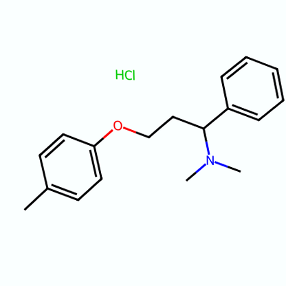 Cc1ccc(OCCC(c2ccccc2)N(C)C)cc1.Cl